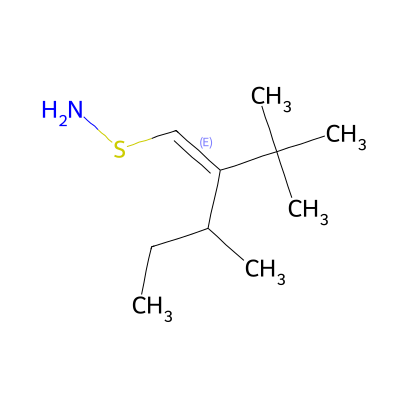 CCC(C)/C(=C\SN)C(C)(C)C